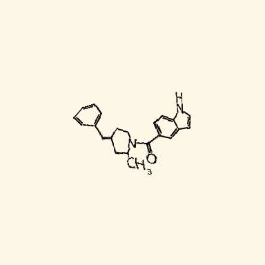 CC1CC(Cc2ccccc2)CCN1C(=O)c1ccc2[nH]ccc2c1